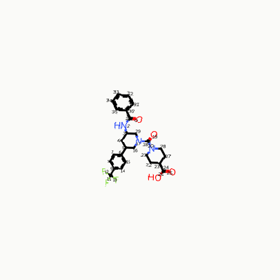 O=C(NC1CC(c2ccc(C(F)(F)F)cc2)CN(C(=O)N2CCC(C(=O)O)CC2)C1)c1ccccc1